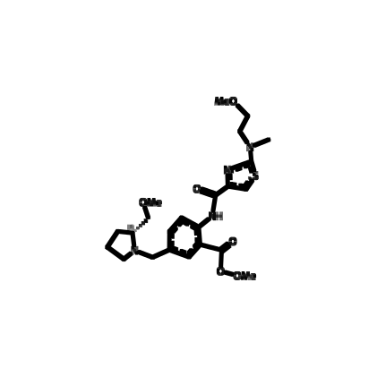 COCCN(C)c1nc(C(=O)Nc2ccc(CN3CCC[C@@H]3COC)cc2C(=O)OOC)cs1